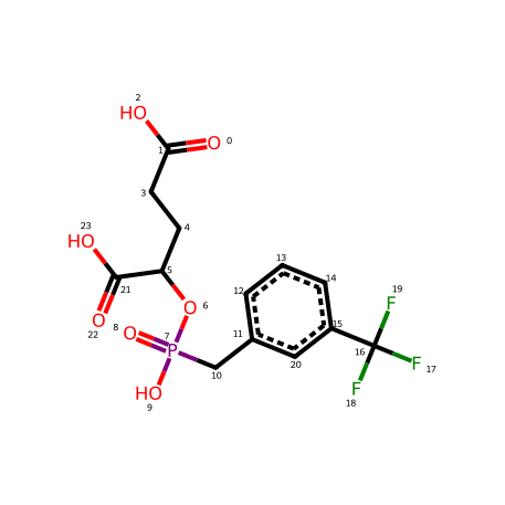 O=C(O)CCC(OP(=O)(O)Cc1cccc(C(F)(F)F)c1)C(=O)O